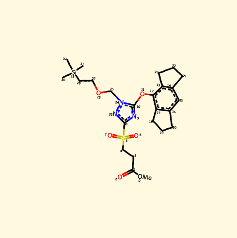 COC(=O)CCS(=O)(=O)c1nc(Oc2c3c(cc4c2CCC4)CCC3)n(COCC[Si](C)(C)C)n1